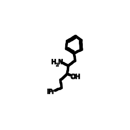 CC(C)CCC(O)C(N)Cc1ccccc1